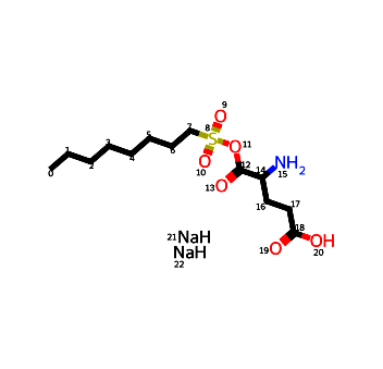 CCCCCCCCS(=O)(=O)OC(=O)C(N)CCC(=O)O.[NaH].[NaH]